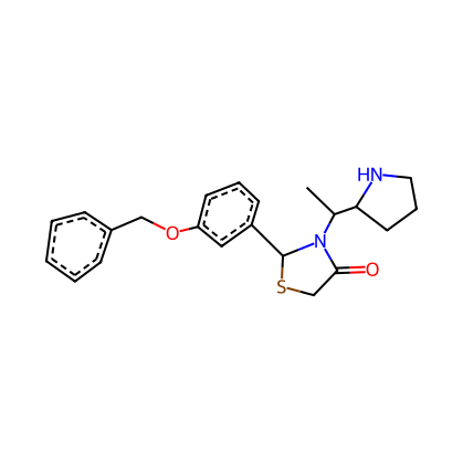 CC(C1CCCN1)N1C(=O)CSC1c1cccc(OCc2ccccc2)c1